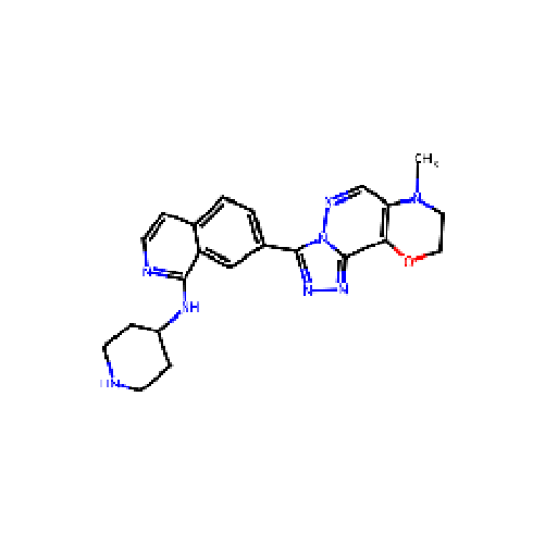 CN1CCOc2c1cnn1c(-c3ccc4ccnc(NC5CCNCC5)c4c3)nnc21